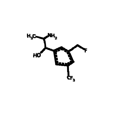 CC(N)C(O)c1cc(CF)cc(C(F)(F)F)c1